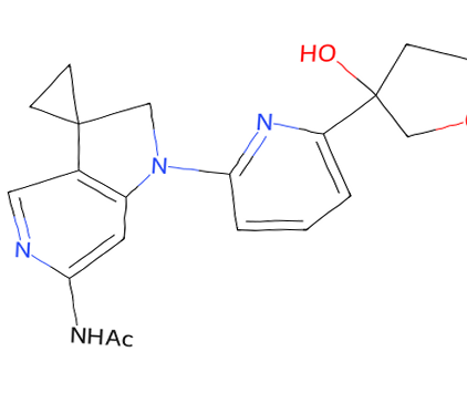 CC(=O)Nc1cc2c(cn1)C1(CC1)CN2c1cccc(C2(O)CCOC2)n1